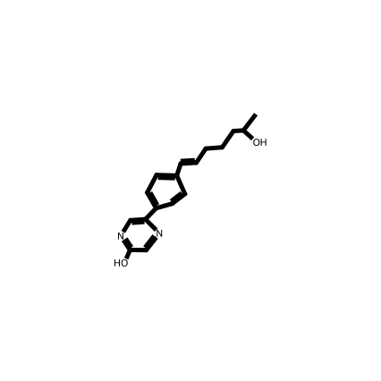 CC(O)CCCC=Cc1ccc(-c2cnc(O)cn2)cc1